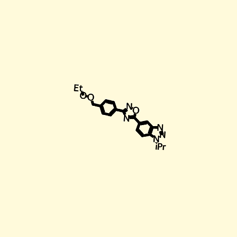 CCOOCc1ccc(-c2noc(-c3ccc4c(c3)nnn4C(C)C)n2)cc1